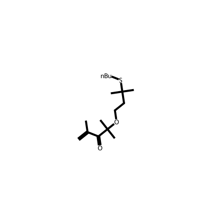 C=C(C)C(=O)C(C)(C)OCCC(C)(C)SCCCC